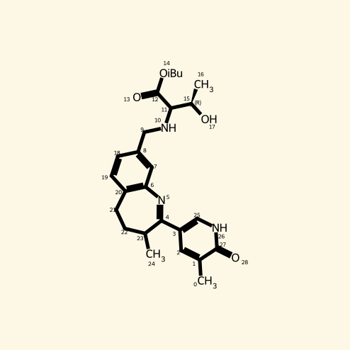 Cc1cc(C2=Nc3cc(CNC(C(=O)OCC(C)C)[C@@H](C)O)ccc3CCC2C)c[nH]c1=O